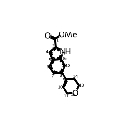 COC(=O)c1cc2ccc(C3=CCOCC3)cc2[nH]1